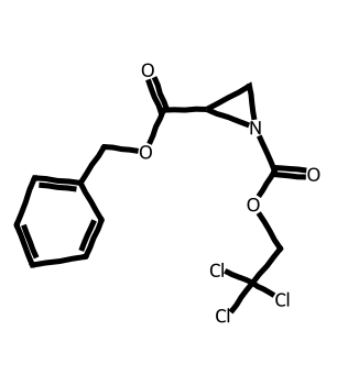 O=C(OCc1ccccc1)C1CN1C(=O)OCC(Cl)(Cl)Cl